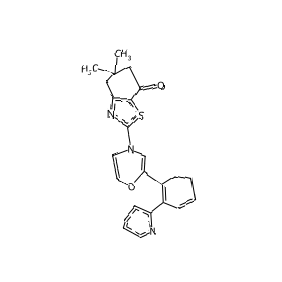 CC1(C)CC(=O)c2sc(N3C=COC(C4=C(c5ccccn5)C=CCC4)=C3)nc2C1